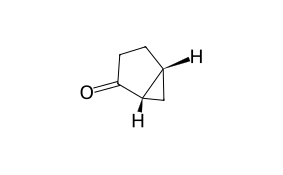 O=C1CC[C@@H]2C[C@H]12